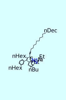 CCCCCCCCCCCCCCCCCCCCC#CC(=C=[N+]=[N-])C(CCCCCC)=C(c1cccc(CCCC)c1)c1cccc(CCCCCC)c1.C[CH2][Ni][CH2]C